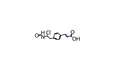 O=CNC(Cl)Cc1ccc(/C=C/C(=O)O)cc1